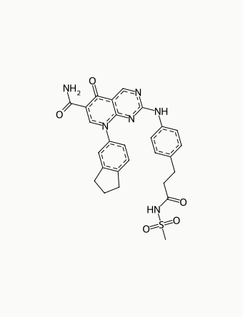 CS(=O)(=O)NC(=O)CCc1ccc(Nc2ncc3c(=O)c(C(N)=O)cn(-c4ccc5c(c4)CCC5)c3n2)cc1